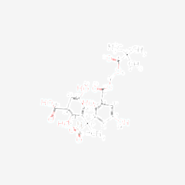 CC(C)(C)C(=O)OCOC(=O)c1cc(O)cc(C(C)(c2cc(O)cc(C(=O)O)c2O)[SH](=O)=O)c1O